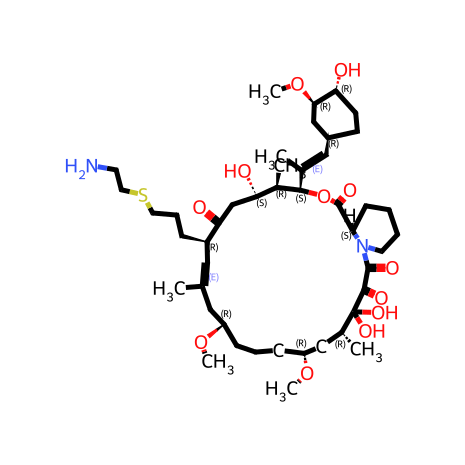 CO[C@@H]1CCC[C@@H](OC)C[C@@H](C)C(O)(O)C(=O)C(=O)N2CCCC[C@H]2C(=O)O[C@H](/C(C)=C/[C@@H]2CC[C@@H](O)[C@H](OC)C2)[C@H](C)[C@@H](O)CC(=O)[C@H](CCCSCCN)/C=C(\C)C1